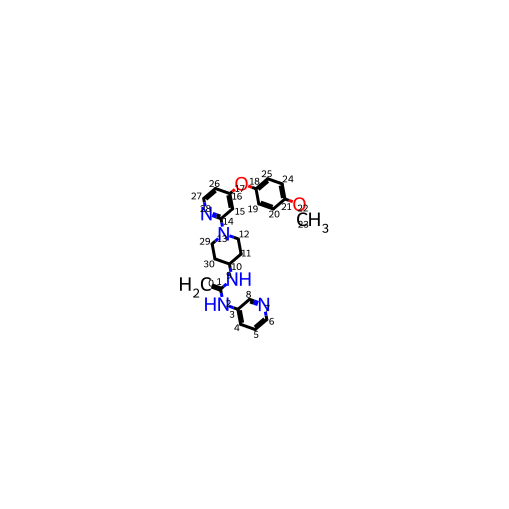 C=C(Nc1cccnc1)NC1CCN(c2cc(Oc3ccc(OC)cc3)ccn2)CC1